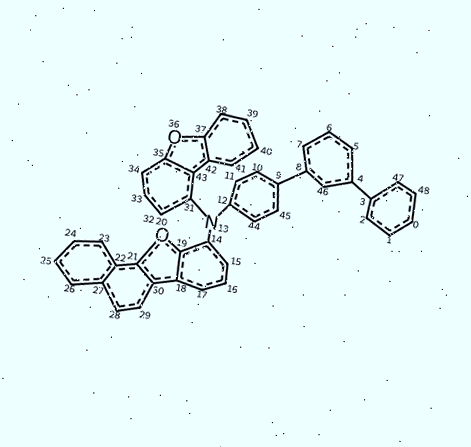 c1ccc(-c2cccc(-c3ccc(N(c4cccc5c4oc4c6ccccc6ccc54)c4cccc5oc6ccccc6c45)cc3)c2)cc1